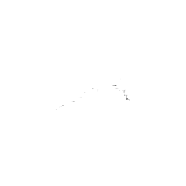 CCOCCOCCOCCOCCC(=O)ON=[N+]=[N-]